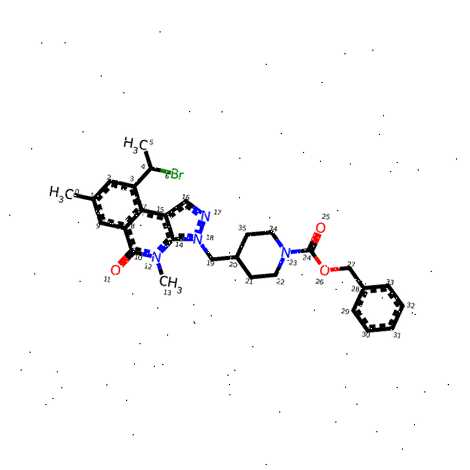 Cc1cc(C(C)Br)c2c(c1)c(=O)n(C)c1c2cnn1CC1CCN(C(=O)OCc2ccccc2)CC1